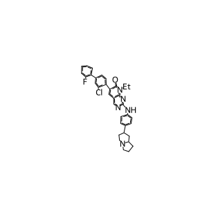 CCn1c(=O)c(-c2ccc(-c3ccccc3F)cc2Cl)cc2cnc(Nc3ccc(C4CCN5CCCC5C4)cc3)nc21